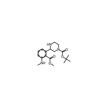 CNc1cccc(C2CN(C(=O)OC(C)(C)C)CCN2)c1C(=O)OC